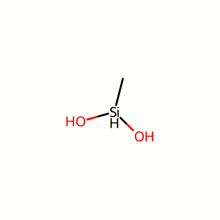 C[SiH](O)O